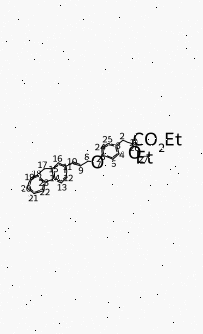 CCOC(=O)[C@H](Cc1ccc(OCC=Cc2ccc3c(c2)Cc2ccccc2-3)cc1)OCC